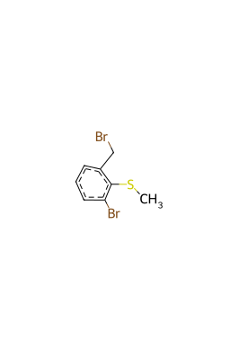 CSc1c(Br)cccc1CBr